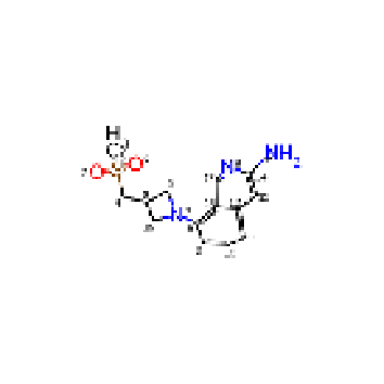 CS(=O)(=O)CC1CN(c2cccc3cc(N)ncc23)C1